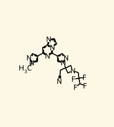 Cn1cc(-c2cc3nccn3c(-c3cnn(C4(CC#N)CN(CC(F)(F)C(F)F)C4)c3)n2)cn1